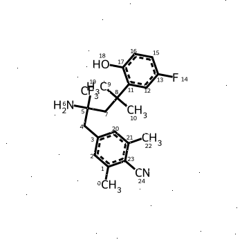 Cc1cc(CC(N)(CC(C)(C)c2cc(F)ccc2O)C(F)(F)F)cc(C)c1C#N